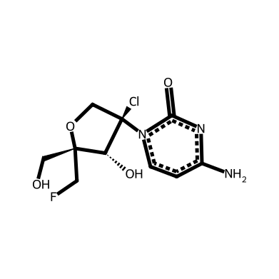 Nc1ccn([C@@]2(Cl)CO[C@@](CO)(CF)[C@H]2O)c(=O)n1